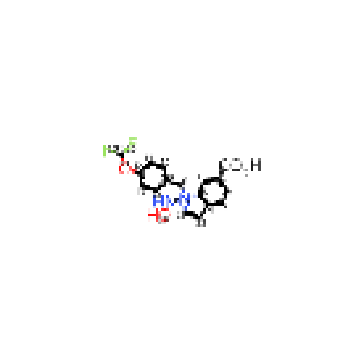 O=C(O)c1ccc2c(c1)[N+](Cc1ccc(OC(F)F)cc1)(NO)C=C2